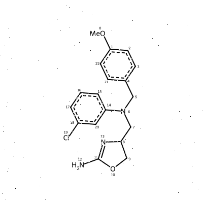 COc1ccc(CN(CC2COC(N)=N2)c2cccc(Cl)c2)cc1